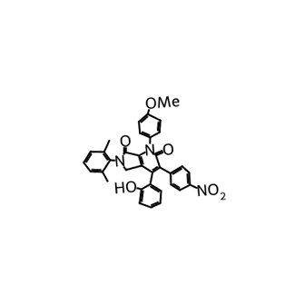 COc1ccc(-n2c3c(c(-c4ccccc4O)c(-c4ccc([N+](=O)[O-])cc4)c2=O)CN(c2c(C)cccc2C)C3=O)cc1